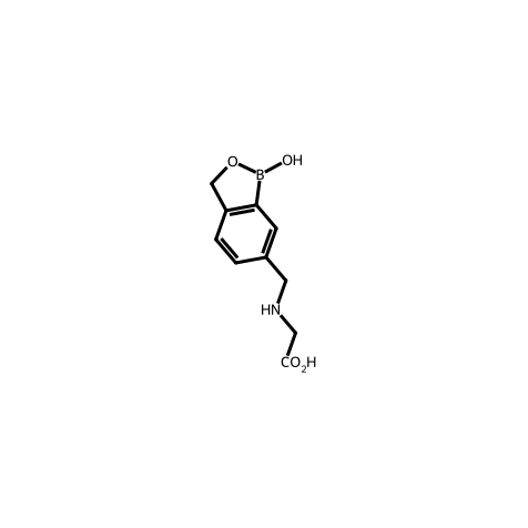 O=C(O)CNCc1ccc2c(c1)B(O)OC2